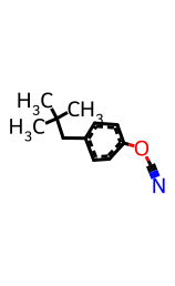 CC(C)(C)Cc1ccc(OC#N)cc1